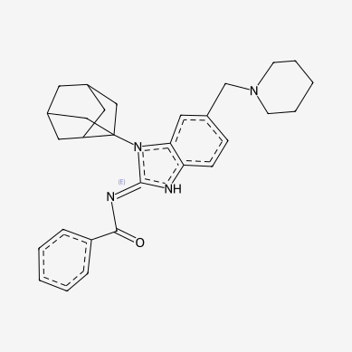 O=C(/N=c1\[nH]c2ccc(CN3CCCCC3)cc2n1C12CC3CC(CC1C3)C2)c1ccccc1